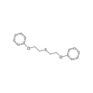 c1ccc(OCCSCCOc2ccccc2)cc1